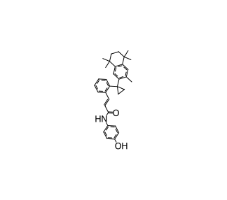 Cc1cc2c(cc1C1(c3ccccc3C=CC(=O)Nc3ccc(O)cc3)CC1)C(C)(C)CCC2(C)C